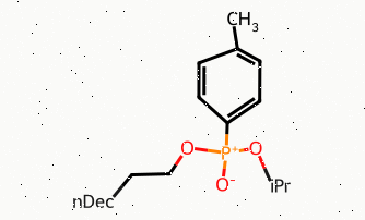 CCCCCCCCCCCCO[P+]([O-])(OC(C)C)c1ccc(C)cc1